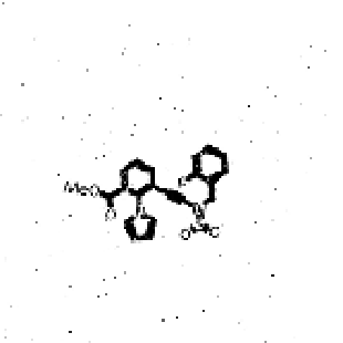 COC(=O)c1cccc(C#CN(Cc2ccccc2F)[SH](=O)=O)c1-n1cccc1